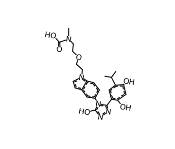 CC(C)c1cc(-c2nnc(O)n2-c2ccc3c(ccn3CCOCCN(C)C(=O)O)c2)c(O)cc1O